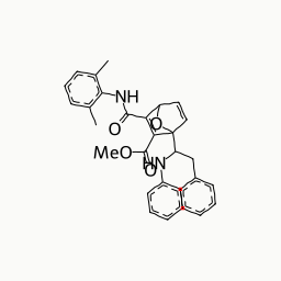 COC(=O)C1=C(C(=O)Nc2c(C)cccc2C)C2C=CC1(C(Cc1ccccc1)Nc1ccccc1)O2